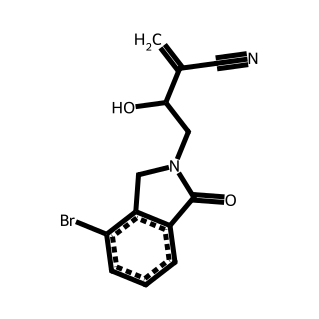 C=C(C#N)C(O)CN1Cc2c(Br)cccc2C1=O